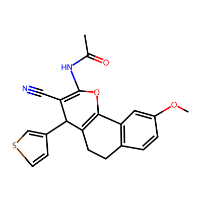 COc1ccc2c(c1)C1=C(CC2)C(c2ccsc2)C(C#N)=C(NC(C)=O)O1